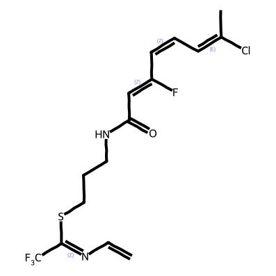 C=C/N=C(\SCCCNC(=O)/C=C(F)/C=C\C=C(/C)Cl)C(F)(F)F